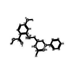 COC(=O)c1ccc(OC)cc1NCC(COc1ccccc1)OC(C)=O